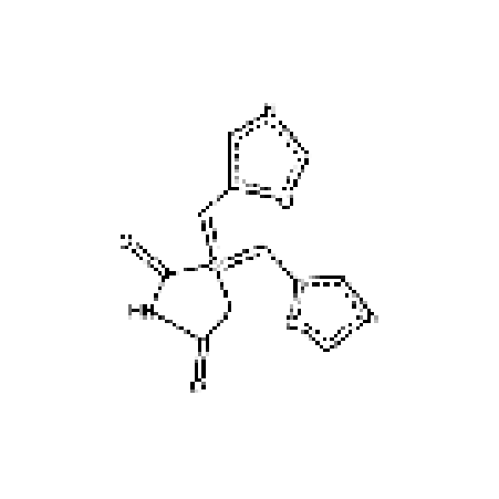 O=C1CS(=Cc2cnco2)(=Cc2cnco2)C(=O)N1